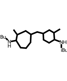 CCC(C)NC1CCCC(CC2CCC(NC(C)CC)C(C)C2)CC1C